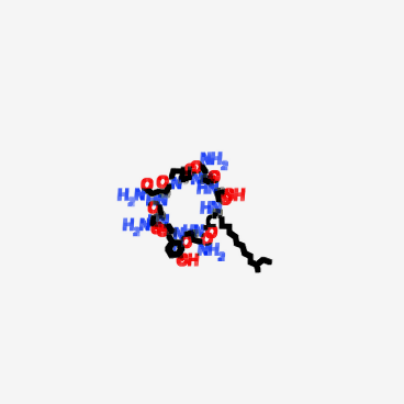 CCC(C)CCCCCCCCCC[C@@H]1CC(=O)N[C@@H](CC(N)=O)C(=O)N[C@H](Cc2ccc(O)cc2)C(=O)N[C@H](CC(N)=O)C(=O)N[C@@H](CCC(N)=O)C(=O)N2CCC[C@H]2C(=O)N[C@H](CC(N)=O)C(=O)N[C@@H](CO)C(=O)N1